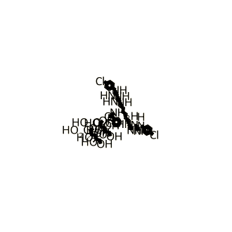 N=C(NCCCCCCNC(=N)NC(=N)Nc1ccc(Cl)cc1)NC(=N)Nc1ccc(Cl)cc1.NC(=O)c1ccccc1C(=O)O.O=C(O)[C@H](O)[C@@H](O)[C@H](O)[C@H](O)CO.O=C(O)[C@H](O)[C@@H](O)[C@H](O)[C@H](O)CO